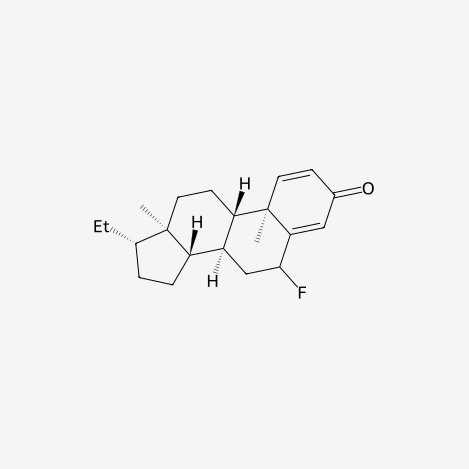 CC[C@H]1CC[C@H]2[C@@H]3CC(F)C4=CC(=O)C=C[C@]4(C)[C@H]3CC[C@]12C